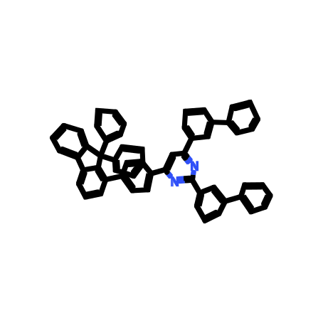 c1ccc(-c2cccc(-c3cc(-c4ccc(-c5cccc6c5C(c5ccccc5)(c5ccccc5)c5ccccc5-6)cc4)nc(-c4cccc(-c5ccccc5)c4)n3)c2)cc1